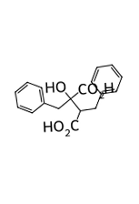 O=C(O)C(Cc1ccccc1)C(O)(Cc1ccccc1)C(=O)O